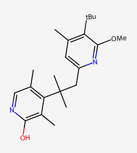 COc1nc(CC(C)(C)c2c(C)cnc(O)c2C)cc(C)c1C(C)(C)C